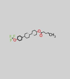 C=CCCC(=O)O[C@H]1CC[C@H]([C@H]2CC[C@H](c3ccc(OC(F)(F)F)cc3)CC2)CC1